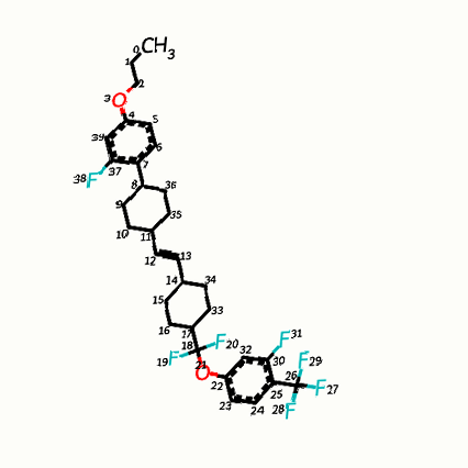 CCCOc1ccc(C2CCC(/C=C/C3CCC(C(F)(F)Oc4ccc(C(F)(F)F)c(F)c4)CC3)CC2)c(F)c1